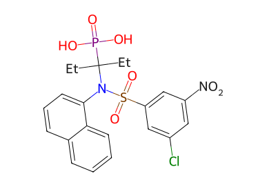 CCC(CC)(N(c1cccc2ccccc12)S(=O)(=O)c1cc(Cl)cc([N+](=O)[O-])c1)P(=O)(O)O